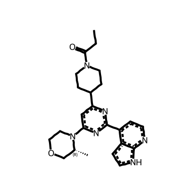 CCC(=O)N1CCC(c2cc(N3CCOC[C@H]3C)nc(-c3ccnc4[nH]ccc34)n2)CC1